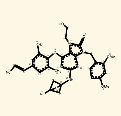 COc1ccc(Cn2c(=O)n(CCO)c3c(Oc4c(C)cc(/C=C/C#N)cc4C)nc(NC45CC(C#N)(C4)C5)nc32)c(OC)c1